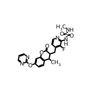 CNS(=O)(=O)Nc1nccc(CC2C(=O)Oc3cc(Oc4ncccn4)ccc3C2C)c1F